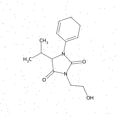 CC(C)C1C(=O)N(CCO)C(=O)N1C1=CCCC=C1